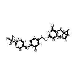 O=c1nc(OCc2ccc(Oc3cnc(C(F)(F)F)nc3)c(F)c2)cc2n1CC13CC1=CN23